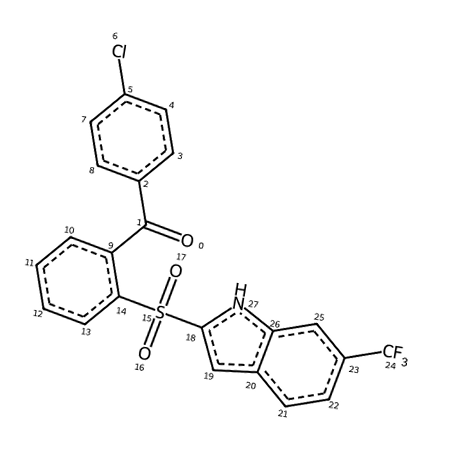 O=C(c1ccc(Cl)cc1)c1ccccc1S(=O)(=O)c1cc2ccc(C(F)(F)F)cc2[nH]1